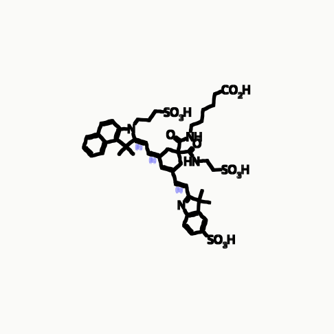 CC1(C)C(/C=C/C2=CC(=C/C=C3/N(CCCS(=O)(=O)O)c4ccc5ccccc5c4C3(C)C)/CC(C(=O)NCCCCCC(=O)O)(C(=O)NCCS(=O)(=O)O)C2)=Nc2ccc(S(=O)(=O)O)cc21